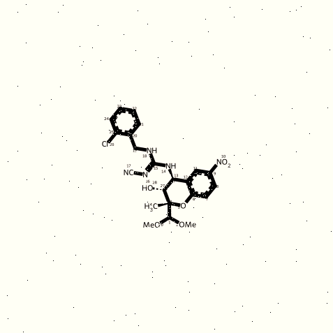 COC(OC)[C@@]1(C)Oc2ccc([N+](=O)[O-])cc2[C@H](NC(=NC#N)NCc2ccccc2Cl)[C@H]1O